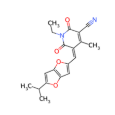 CCN1C(=O)C(C#N)=C(C)/C(=C/c2cc3oc(C(C)C)cc3o2)C1=O